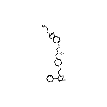 CCCc1nc2cc(OC[C@H](O)CN3CCN(CCc4n[nH]cc4-c4ccccc4)CC3)ccc2s1